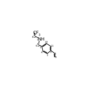 C=Cc1ccc(SNSC(F)(F)F)cc1